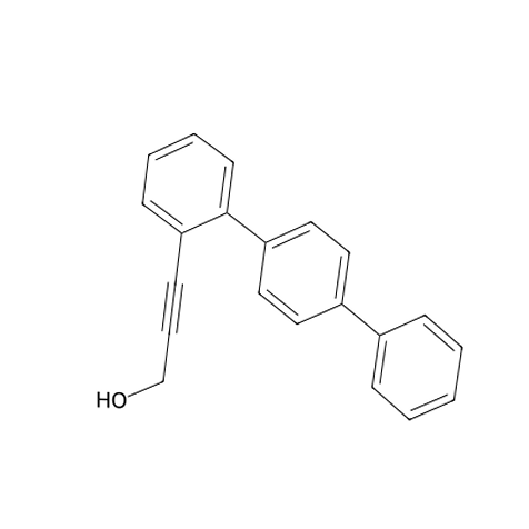 OCC#Cc1ccccc1-c1ccc(-c2ccccc2)cc1